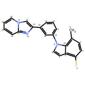 Cc1ccc(F)c2ccn(-c3cccc(-c4cn5ccccc5n4)c3)c12